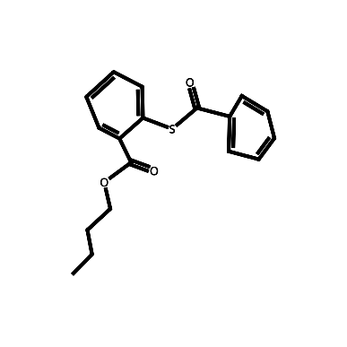 CCCCOC(=O)c1ccccc1SC(=O)c1ccccc1